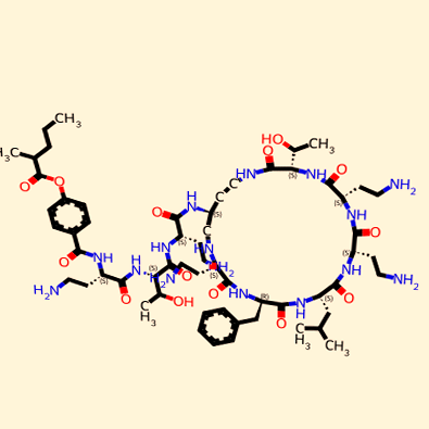 CCCC(C)C(=O)Oc1ccc(C(=O)N[C@@H](CCN)C(=O)N[C@H](C(=O)N[C@@H](CCN)C(=O)N[C@H]2CCNC(=O)[C@H](C(C)O)NC(=O)[C@H](CCN)NC(=O)[C@H](CCN)NC(=O)[C@H](CC(C)C)NC(=O)[C@@H](Cc3ccccc3)NC(=O)[C@H](CCN)NC2)C(C)O)cc1